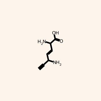 C#CC(N)C=CC(N)C(=O)O